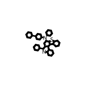 c1ccc(-c2ccc(N(c3ccccc3)c3cc4c(-c5ccccc5)nc5ccccc5c4c4c3sc3ccccc34)cc2)cc1